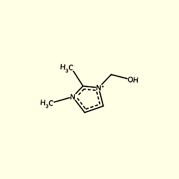 Cc1n(C)cc[n+]1CO